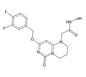 CCCNC(=O)CN1CCCn2c1cc(OCc1ccc(F)c(F)c1)nc2=O